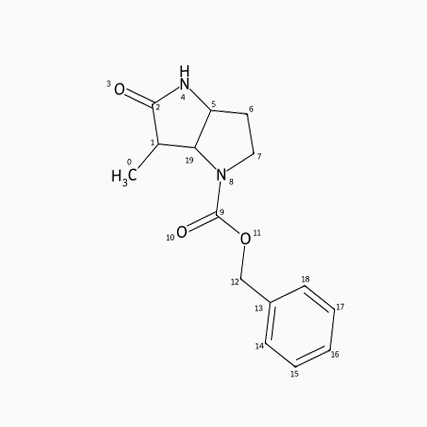 CC1C(=O)NC2CCN(C(=O)OCc3ccccc3)C21